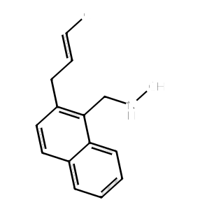 CNCc1c(C/C=C/Cl)ccc2ccccc12